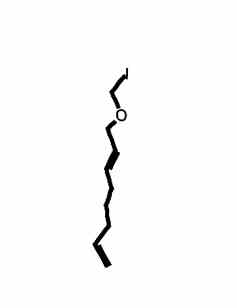 C=CCCCC=CCOCI